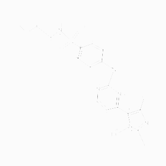 CCOCCNS(=O)(=O)c1ccc(Nc2nccc(-c3c(C)nc(C)n3CC)n2)cc1